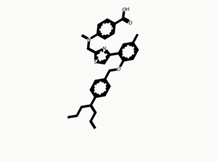 CCCC(CCC)c1ccc(COc2ccc(C)cc2-c2csc(CN(C)c3ccc(C(=O)O)cc3)n2)cc1